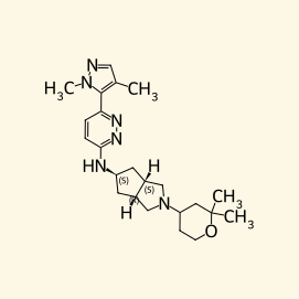 Cc1cnn(C)c1-c1ccc(N[C@H]2C[C@@H]3CN(C4CCOC(C)(C)C4)C[C@@H]3C2)nn1